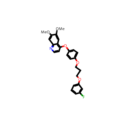 COc1cc2nccc(Oc3ccc(OCCCOc4cccc(F)c4)cc3)c2cc1OC